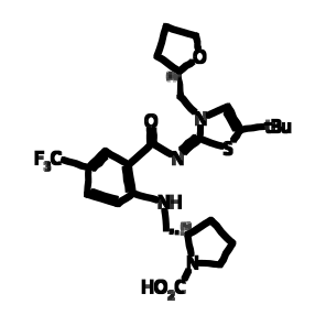 CC(C)(C)c1cn(C[C@H]2CCCO2)c(=NC(=O)c2cc(C(F)(F)F)ccc2NC[C@@H]2CCCN2C(=O)O)s1